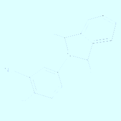 N#Cc1cc(N2C(S)c3ccccc3C2S)ccc1F